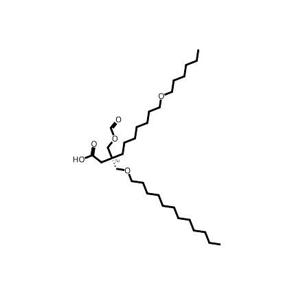 CCCCCCCCCCCCOC[C@@](CCCCCCCOCCCCCC)(COC=O)CC(=O)O